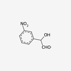 O=[C]C(O)c1cccc([N+](=O)[O-])c1